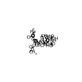 CCOC(=O)COC(=O)c1cc(Oc2ccc(C(F)(F)F)cc2Cl)ccc1[N+](=O)[O-].CCc1cccc(C)c1N(C(=O)CCl)C(C)COC.O=C(O)CNCP(=O)(O)O